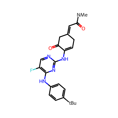 CNC(=O)C=C1CC=C(Nc2ncc(F)c(Nc3ccc(C(C)(C)C)cc3)n2)C(=O)C1